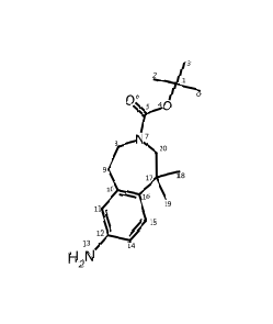 CC(C)(C)OC(=O)N1CCc2cc(N)ccc2C(C)(C)C1